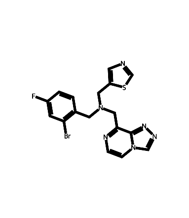 Fc1ccc(CN(Cc2cncs2)Cc2nccn3cnnc23)c(Br)c1